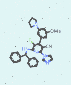 COc1cc(-c2c(F)c(NC(c3ccccc3)c3ccccc3)nc(-n3ccnc3)c2C#N)cc(N2CCCC2)c1